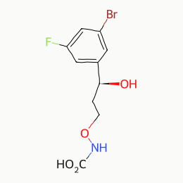 O=C(O)NOCC[C@H](O)c1cc(F)cc(Br)c1